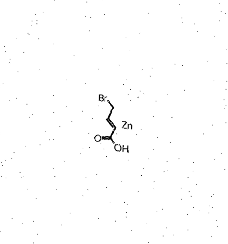 O=C(O)C=CCBr.[Zn]